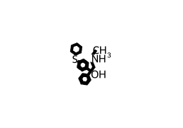 CCNCCC(O)(c1ccccc1)c1ccc(SC2CCCCC2)cc1